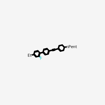 CCCCCC1CC=C(C#Cc2ccc(-c3ccc(CC)cc3F)cc2)CC1